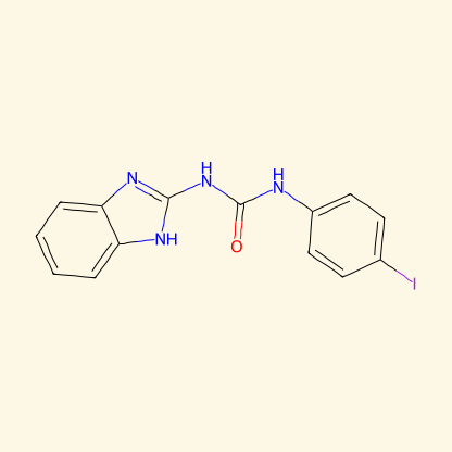 O=C(Nc1ccc(I)cc1)Nc1nc2ccccc2[nH]1